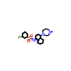 CN1CCCN(c2ccc(NS(=O)(=O)c3cccc(F)c3)c3ccccc23)CC1